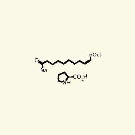 CCCCCCCC/C=C\CCCCCCC[C](=O)[Na].O=C(O)[C@@H]1CCCN1